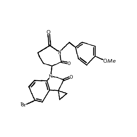 COc1ccc(CN2C(=O)CCC(N3C(=O)C4(CC4)c4cc(Br)ccc43)C2=O)cc1